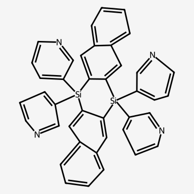 c1cncc([Si]2(c3cccnc3)c3cc4ccccc4cc3[Si](c3cccnc3)(c3cccnc3)c3cc4ccccc4cc32)c1